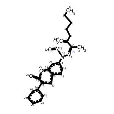 C=C(CCCCC)/C(C)=N\N(N=O)c1ccc2cc(-c3ccccc3)c(=O)oc2c1